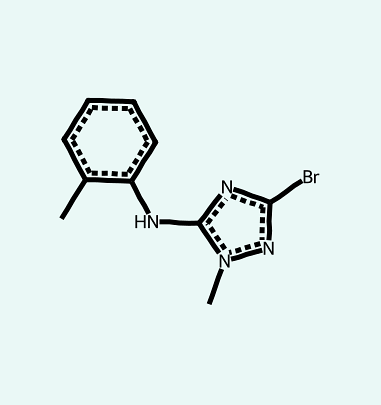 Cc1ccccc1Nc1nc(Br)nn1C